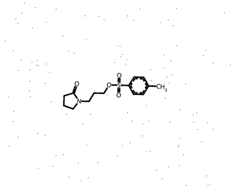 Cc1ccc(S(=O)(=O)OCCCN2CCCC2=O)cc1